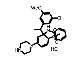 COc1cc(Cl)cc(C(C)C2(Nc3ccccc3)C=C(N3CCNCC3)C=CC2S(C)(=O)=O)c1.Cl